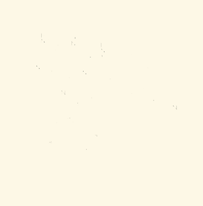 Cc1ccc(Nc2nc(Nc3ccc(C#N)cc3)nc3[nH]cnc23)c2ccccc12